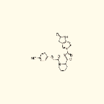 N#Cc1ccc(OCC(=O)N2CCCC[C@@H]2c2nc(-c3ccc4c(c3)CC(=O)N4)no2)cc1